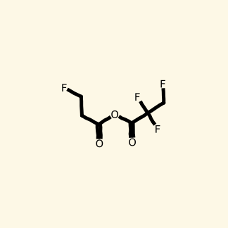 O=C(CCF)OC(=O)C(F)(F)CF